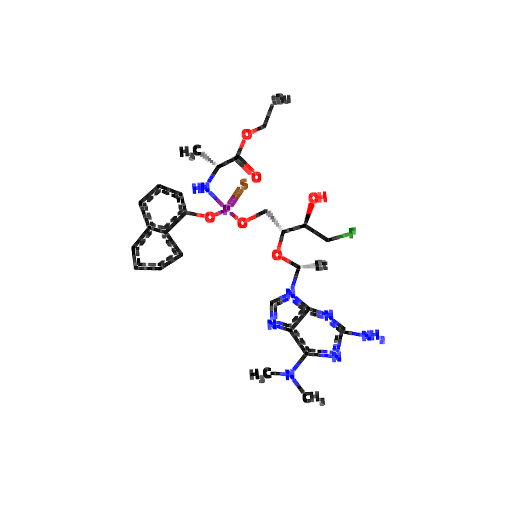 CC[C@@H](O[C@H](COP(=S)(N[C@H](C)C(=O)OCC(C)(C)C)Oc1cccc2ccccc12)[C@@H](O)CF)n1cnc2c(N(C)C)nc(N)nc21